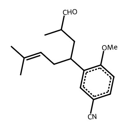 COc1ccc(C#N)cc1C(CC=C(C)C)CC(C)C=O